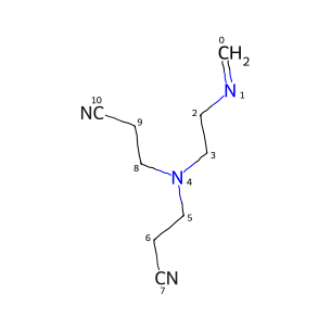 C=NCCN(CCC#N)CCC#N